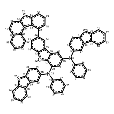 c1ccc(N(c2ccc3sc4ccccc4c3c2)c2cc(N(c3ccccc3)c3ccc4sc5ccccc5c4c3)c3oc4ccc(-c5cccc6sc7ccc8ccccc8c7c56)cc4c3c2)cc1